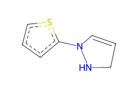 C1=CN(c2cccs2)NC1